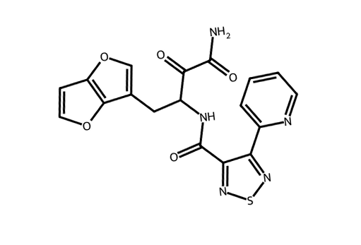 NC(=O)C(=O)C(Cc1coc2ccoc12)NC(=O)c1nsnc1-c1ccccn1